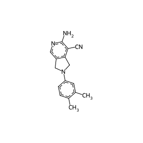 Cc1ccc(N2Cc3cnc(N)c(C#N)c3C2)cc1C